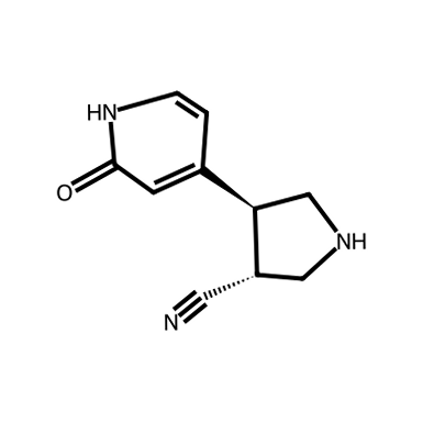 N#C[C@H]1CNC[C@@H]1c1cc[nH]c(=O)c1